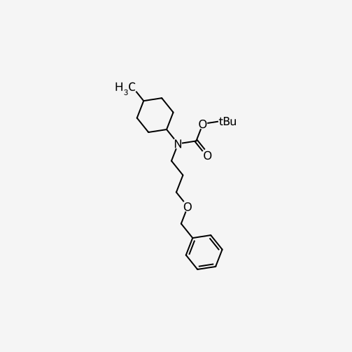 CC1CCC(N(CCCOCc2ccccc2)C(=O)OC(C)(C)C)CC1